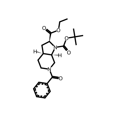 CCOC(=O)[C@@H]1C[C@@H]2CCN(C(=O)c3ccccc3)C[C@@H]2N1C(=O)OC(C)(C)C